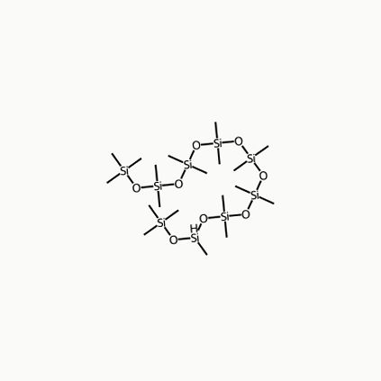 C[SiH](O[Si](C)(C)C)O[Si](C)(C)O[Si](C)(C)O[Si](C)(C)O[Si](C)(C)O[Si](C)(C)O[Si](C)(C)O[Si](C)(C)C